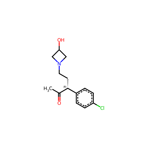 CC(=O)[C@H](CCN1CC(O)C1)c1ccc(Cl)cc1